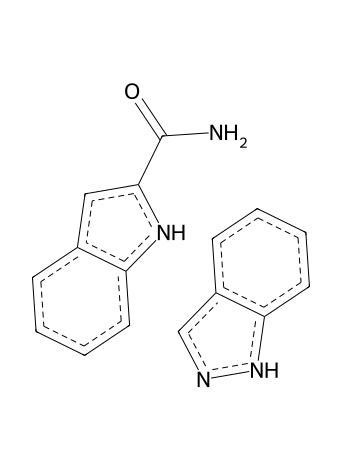 NC(=O)c1cc2ccccc2[nH]1.c1ccc2[nH]ncc2c1